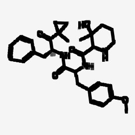 COc1ccc(CC(NC(=O)C2NCCCC2(C)O)C(=O)N[C@@H](Cc2ccccc2)C(=O)C2(C)CC2)cc1